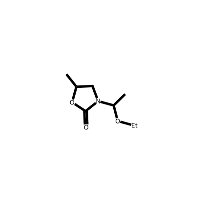 CCOC(C)N1CC(C)OC1=O